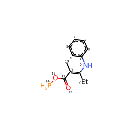 CCC(Nc1ccccc1)=C(C)C(=O)OP